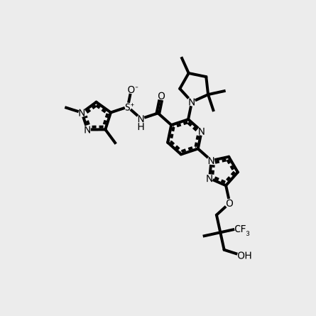 Cc1nn(C)cc1[S+]([O-])NC(=O)c1ccc(-n2ccc(OCC(C)(CO)C(F)(F)F)n2)nc1N1CC(C)CC1(C)C